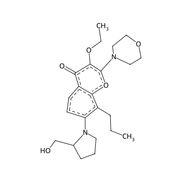 CCCc1c(N2CCCC2CO)ccc2c(=O)c(OCC)c(N3CCOCC3)oc12